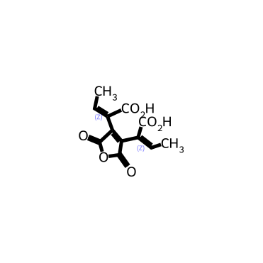 C/C=C(\C(=O)O)C1=C(/C(=C/C)C(=O)O)C(=O)OC1=O